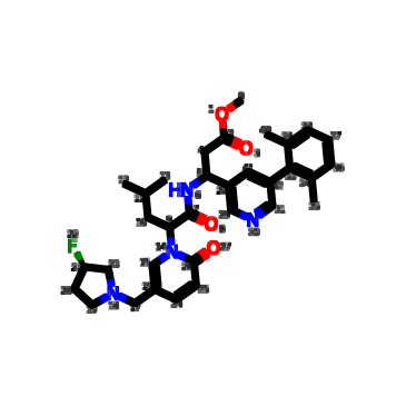 COC(=O)CC(NC(=O)C(CC(C)C)n1cc(CN2CC[C@@H](F)C2)ccc1=O)c1cncc(-c2c(C)cccc2C)c1